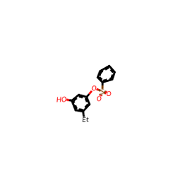 CCc1cc(O)cc(OS(=O)(=O)c2ccccc2)c1